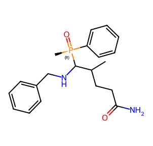 CC(CCC(N)=O)C(NCc1ccccc1)[P@](C)(=O)c1ccccc1